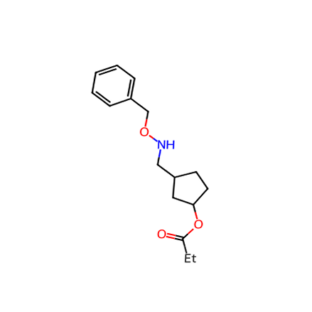 CCC(=O)OC1CCC(CNOCc2ccccc2)C1